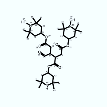 CC1(C)CC(OC(=O)C(CC(=O)OC2CC(C)(C)N(O)C(C)(C)C2)C(C=O)CC(=O)OC2CC(C)(C)N(O)C(C)(C)C2)CC(C)(C)N1